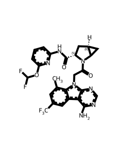 Cc1cc(C(F)(F)F)cc2c3c(N)ncnc3n(CC(=O)N3C4C[C@@H]4C[C@H]3C(=O)Nc3cccc(OC(F)F)n3)c12